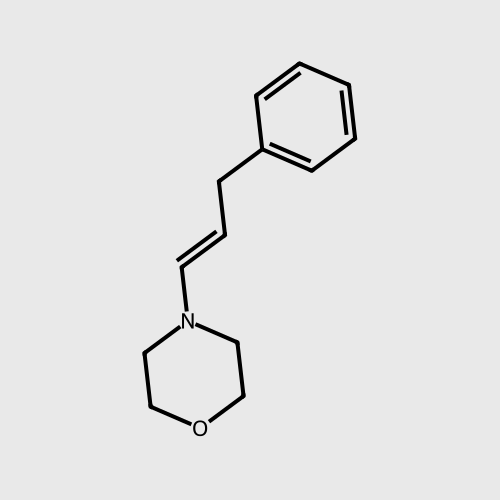 C(=CN1CCOCC1)Cc1ccccc1